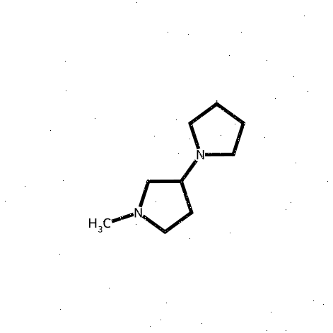 CN1CCC(N2C[CH]CC2)C1